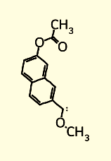 CO[C]c1ccc2ccc(OC(C)=O)cc2c1